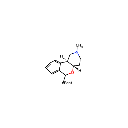 CCCCCC1O[C@H]2CCN(C)C[C@@H]2c2ccccc21